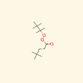 CC(C)(C)CCC(=O)OOC(C)(C)C(C)(C)C